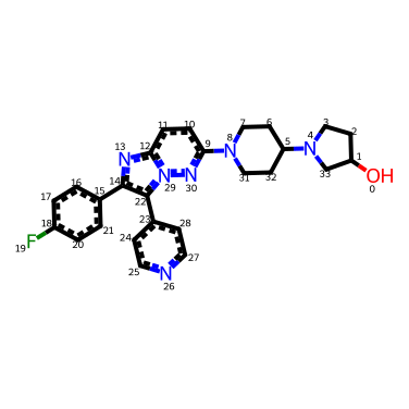 OC1CCN(C2CCN(c3ccc4nc(-c5ccc(F)cc5)c(-c5ccncc5)n4n3)CC2)C1